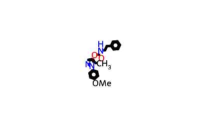 COc1ccc(-n2ncc(OC(=O)NCCc3ccccc3)c2C)cc1